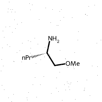 CCC[C@H](N)COC